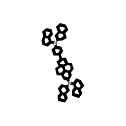 c1ccc2cc(N(c3ccc(-c4cc5c6c(c4)CCc4cc(N(c7ccc8ccccc8c7)c7cccc8ccccc78)cc(c4-6)CC5)cc3)c3cccc4ccccc34)ccc2c1